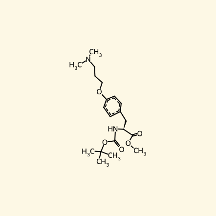 COC(=O)[C@H](Cc1ccc(OCCCN(C)C)cc1)NC(=O)OC(C)(C)C